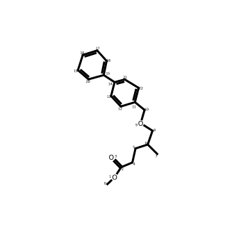 COC(=O)CCC(C)COCc1ccc(-c2ccccc2)cc1